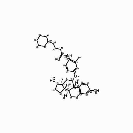 Cc1cc(O[C@H]2C[C@]3(C)[C@@H](O)CC[C@H]3[C@@H]3CCc4cc(O)ccc4[C@H]32)ccc1NC(=O)CCCN1CCCCC1